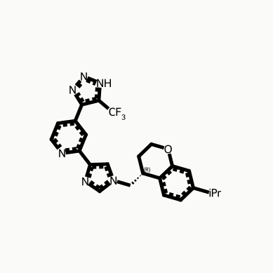 CC(C)c1ccc2c(c1)OCC[C@H]2Cn1cnc(-c2cc(-c3nn[nH]c3C(F)(F)F)ccn2)c1